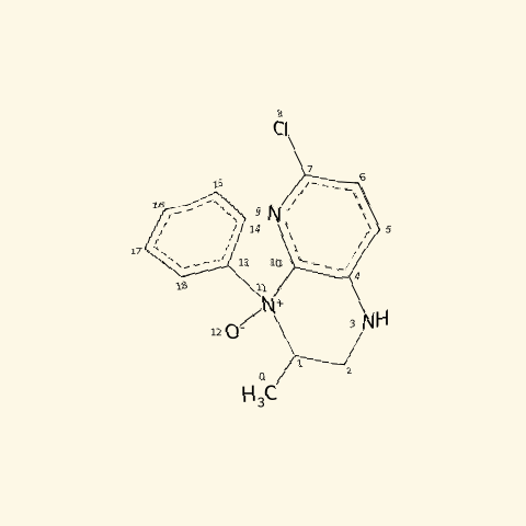 CC1CNc2ccc(Cl)nc2[N+]1([O-])c1ccccc1